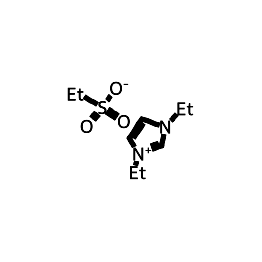 CCS(=O)(=O)[O-].CCn1cc[n+](CC)c1